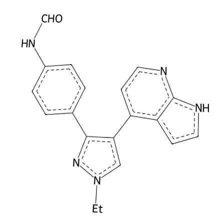 CCn1cc(-c2ccnc3[nH]ccc23)c(-c2ccc(NC=O)cc2)n1